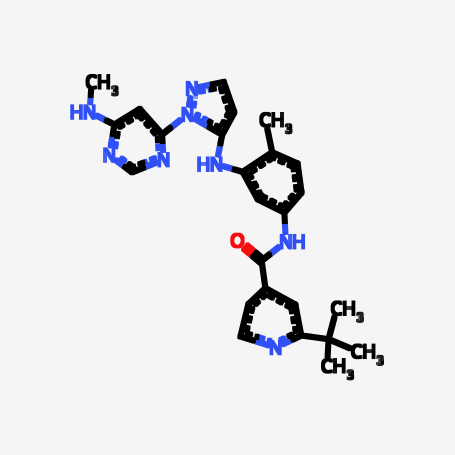 CNc1cc(-n2nccc2Nc2cc(NC(=O)c3ccnc(C(C)(C)C)c3)ccc2C)ncn1